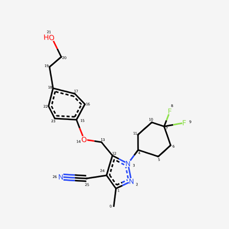 Cc1nn(C2CCC(F)(F)CC2)c(COc2ccc(CCO)cc2)c1C#N